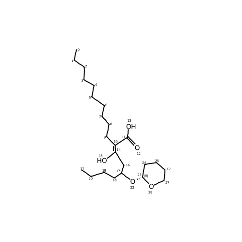 CCCCCCCCCCC(C(=O)O)=C(O)CC(CCCC)O[C@@H]1CCCCO1